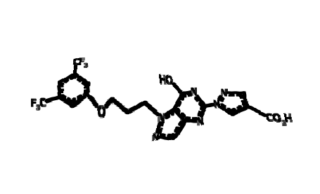 O=C(O)c1cnn(-c2nc(O)c3c(cnn3CCCOc3cc(C(F)(F)F)cc(C(F)(F)F)c3)n2)c1